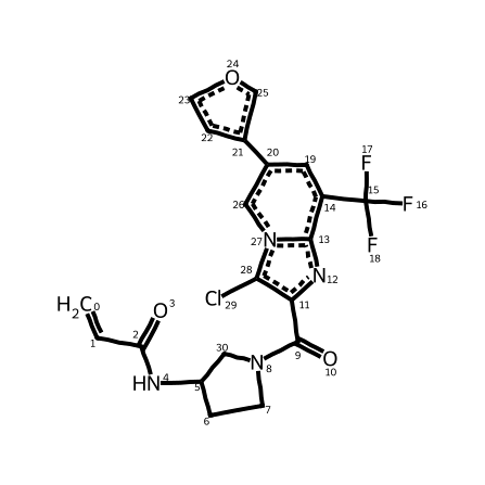 C=CC(=O)NC1CCN(C(=O)c2nc3c(C(F)(F)F)cc(-c4ccoc4)cn3c2Cl)C1